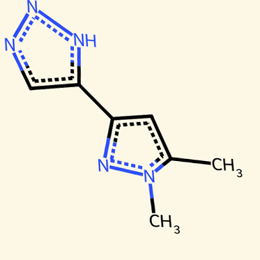 Cc1cc(-c2cnn[nH]2)nn1C